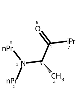 CCCN(CCC)[C@@H](C)C(=O)C(C)C